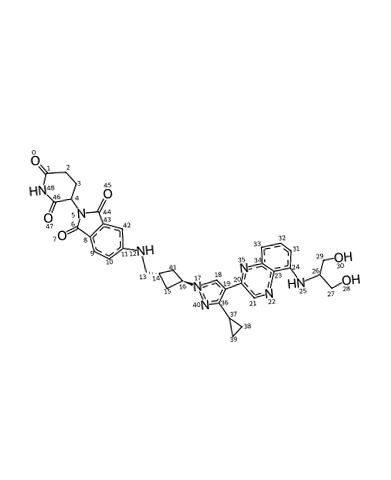 O=C1CCC(N2C(=O)c3ccc(NC[C@H]4C[C@H](n5cc(-c6cnc7c(NC(CO)CO)cccc7n6)c(C6CC6)n5)C4)cc3C2=O)C(=O)N1